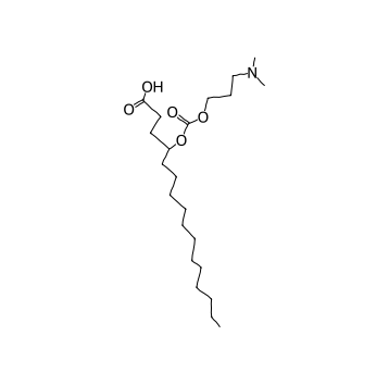 CCCCCCCCCCCCC(CCC(=O)O)OC(=O)OCCCN(C)C